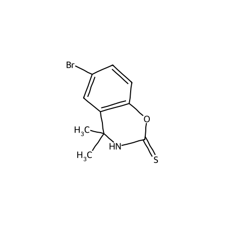 CC1(C)NC(=S)Oc2ccc(Br)cc21